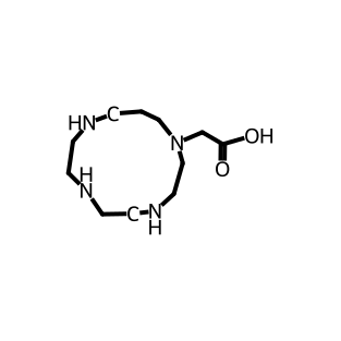 O=C(O)CN1CCCNCCNCCNCC1